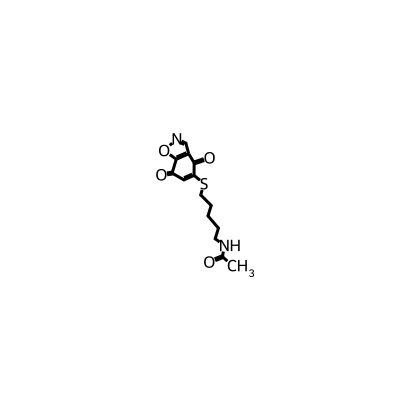 CC(=O)NCCCCCSC1=CC(=O)c2oncc2C1=O